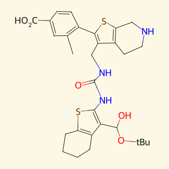 Cc1cc(C(=O)O)ccc1-c1sc2c(c1CNC(=O)Nc1sc3c(c1C(O)OC(C)(C)C)CCCC3)CCNC2